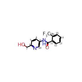 O=C(Nc1ccc(CO)nc1)c1ccccc1C(F)(F)F